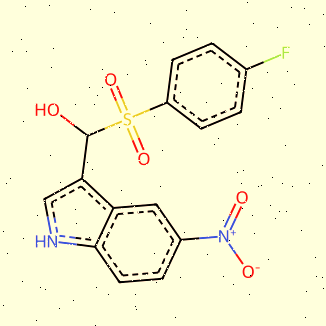 O=[N+]([O-])c1ccc2[nH]cc(C(O)S(=O)(=O)c3ccc(F)cc3)c2c1